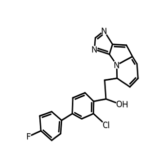 OC(CC1C=CC=c2cc3c(n21)=NC=N3)c1ccc(-c2ccc(F)cc2)cc1Cl